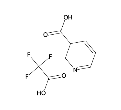 O=C(O)C(F)(F)F.O=C(O)C1C=CC=NC1